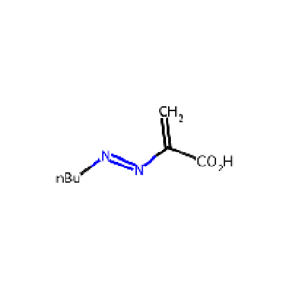 C=C(/N=N/CCCC)C(=O)O